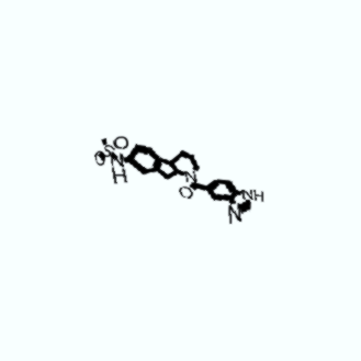 CS(=O)(=O)Nc1ccc2c(c1)CC1C2CCCN1C(=O)c1ccc2[nH]cnc2c1